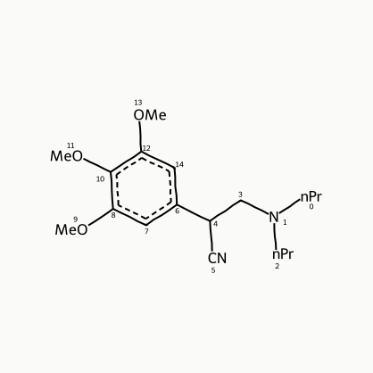 CCCN(CCC)CC(C#N)c1cc(OC)c(OC)c(OC)c1